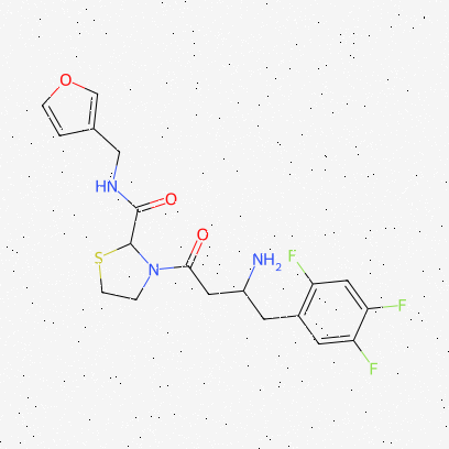 NC(CC(=O)N1CCSC1C(=O)NCc1ccoc1)Cc1cc(F)c(F)cc1F